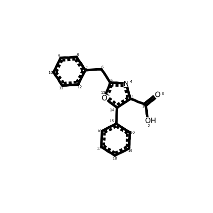 O=C(O)c1nc(Cc2ccccc2)oc1-c1ccccc1